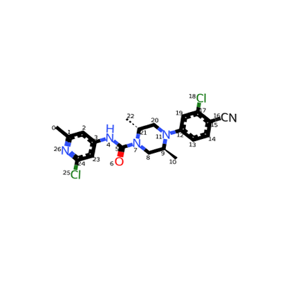 Cc1cc(NC(=O)N2C[C@H](C)N(c3ccc(C#N)c(Cl)c3)C[C@H]2C)cc(Cl)n1